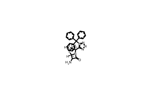 CC1(C)S[C@H]2C(N)C(=O)N2C1c1nnnn1C(c1ccccc1)(c1ccccc1)c1ccccc1